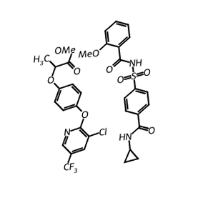 COC(=O)C(C)Oc1ccc(Oc2ncc(C(F)(F)F)cc2Cl)cc1.COc1ccccc1C(=O)NS(=O)(=O)c1ccc(C(=O)NC2CC2)cc1